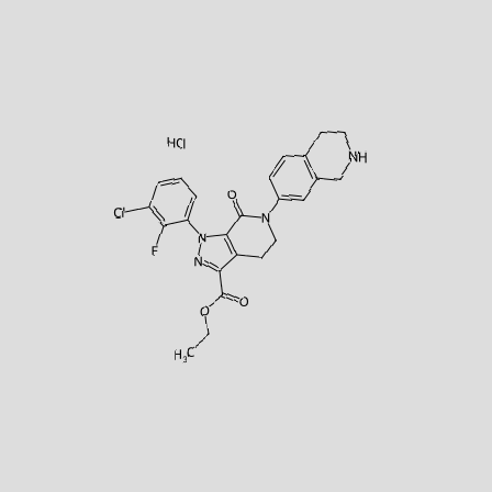 CCOC(=O)c1nn(-c2cccc(Cl)c2F)c2c1CCN(c1ccc3c(c1)CNCC3)C2=O.Cl